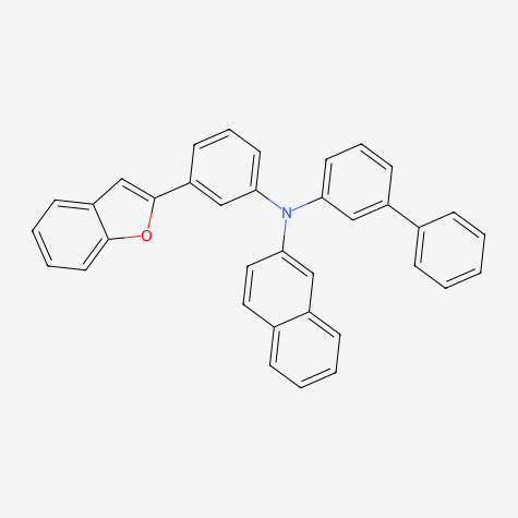 c1ccc(-c2cccc(N(c3cccc(-c4cc5ccccc5o4)c3)c3ccc4ccccc4c3)c2)cc1